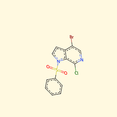 O=S(=O)(c1ccccc1)n1ccc2c(Br)cnc(Cl)c21